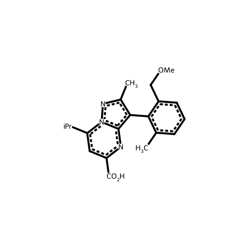 COCc1cccc(C)c1-c1c(C)nn2c(C(C)C)cc(C(=O)O)nc12